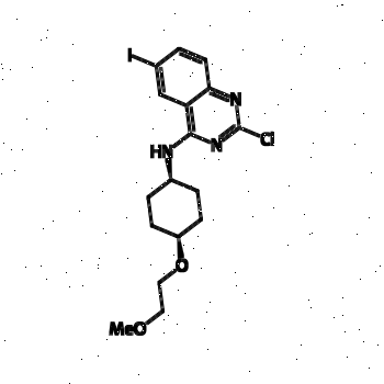 COCCO[C@H]1CC[C@@H](Nc2nc(Cl)nc3ccc(I)cc23)CC1